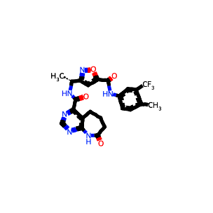 Cc1ccc(NC(=O)c2cc([C@@H](C)NC(=O)c3ncnc4c3CCCC(=O)N4)no2)cc1C(F)(F)F